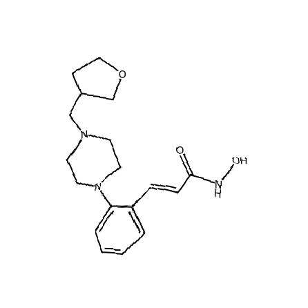 O=C(C=Cc1ccccc1N1CCN(CC2CCOC2)CC1)NO